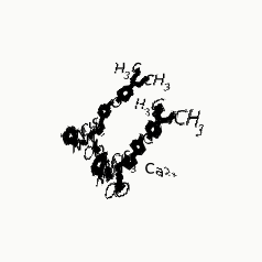 CCCC(CCC)c1ccc(OCc2ccc(-c3ccc(CN(CC(=O)[O-])Cc4nc5ccccc5n4C)s3)cc2)cc1.CCCC(CCC)c1ccc(OCc2ccc(-c3ccc(CN(CC(=O)[O-])Cc4nc5ccccc5n4C)s3)cc2)cc1.[Ca+2]